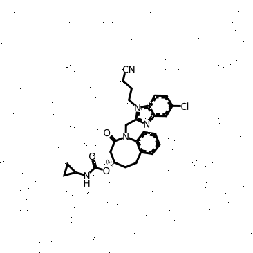 N#CCCCn1c(CN2C(=O)C[C@@H](OC(=O)NC3CC3)CCc3ccccc32)nc2cc(Cl)ccc21